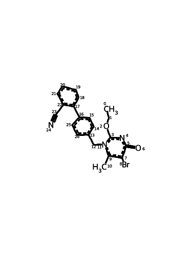 CCOc1nc(=O)c(Br)c(C)n1Cc1ccc(-c2ccccc2C#N)cc1